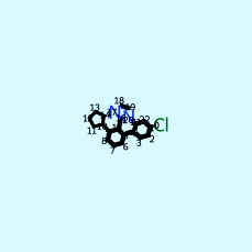 Clc1ccc2c3cccc(C4CCCC4)c3c3nccn3c2c1